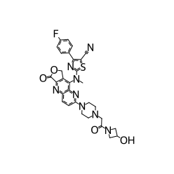 CN(c1nc(-c2ccc(F)cc2)c(C#N)s1)c1c2c(nc3ccc(N4CCN(CC(=O)N5CC(O)C5)CC4)nc13)C(=O)OC2